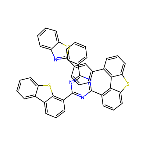 c1ccc(-c2nc(-c3cccc4c3sc3ccccc34)nc(-c3cccc4sc5cccc(-c6cccc(-c7nc8ccccc8s7)c6)c5c34)n2)cc1